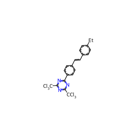 CCc1ccc(C=Cc2ccc(-c3nc(C(Cl)(Cl)Cl)nc(C(Cl)(Cl)Cl)n3)cc2)cc1